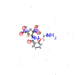 NCCOc1ccccc1C(=O)Nc1sc([N+](=O)[O-])cc1[N+](=O)[O-]